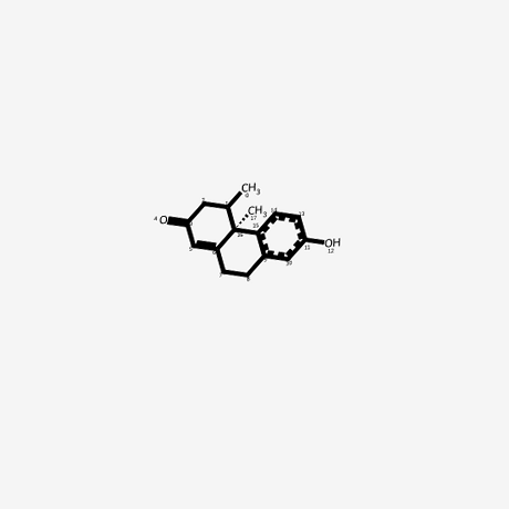 CC1CC(=O)C=C2CCc3cc(O)ccc3[C@@]21C